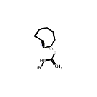 C=C(NC(C)C)O[C@@H]1/C=C/CCCCC1